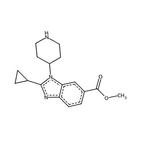 COC(=O)c1ccc2nc(C3CC3)n(C3CCNCC3)c2c1